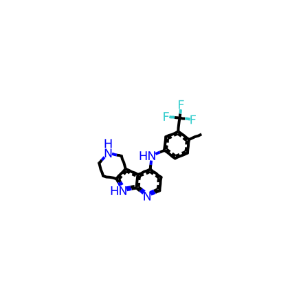 Cc1ccc(Nc2ccnc3[nH]c4c(c23)CNCC4)cc1C(F)(F)F